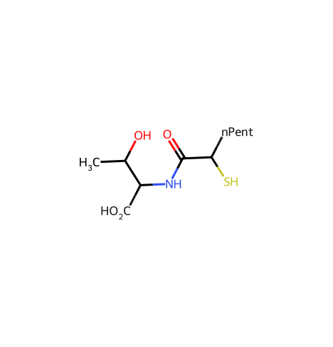 CCCCCC(S)C(=O)NC(C(=O)O)C(C)O